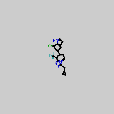 FC(F)(F)c1c(-c2cc(Cl)c3[nH]ccc3c2)ccn2c(CC3CC3)nnc12